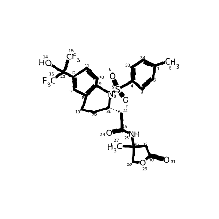 Cc1ccc(S(=O)(=O)N2c3ccc(C(O)(C(F)(F)F)C(F)(F)F)cc3CC[C@H]2CC(=O)NC2(C)COC(=O)C2)cc1